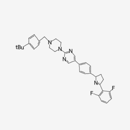 CC(C)(C)c1ccc(CN2CCN(c3ncc(-c4ccc(C5CCC(c6c(F)cccc6F)=N5)cc4)cn3)CC2)cc1